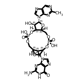 Cc1ncc2ncn([C@@H]3O[C@@H]4COP(=O)(O)O[C@@H]5[C@H](O)[C@@H](COP(=O)(O)O[C@H]4[C@H]3O)O[C@H]5n3cnc4c(=O)[nH]c(N)nc43)c2n1